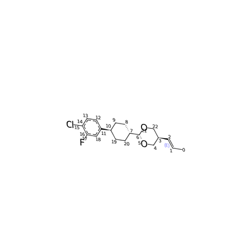 C/C=C/[C@H]1CO[C@H]([C@H]2CC[C@H](c3ccc(Cl)c(F)c3)CC2)OC1